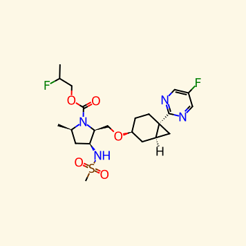 CC(F)COC(=O)N1[C@H](C)C[C@H](NS(C)(=O)=O)[C@@H]1CO[C@H]1CC[C@@]2(c3ncc(F)cn3)C[C@H]2C1